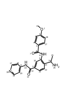 COc1ccc(C(=O)Nc2cc(C(=O)Nc3ccncc3)ccc2C(C)N)cc1